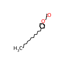 CCCCCCCCCCCCc1ccc(OCC2CO2)cc1